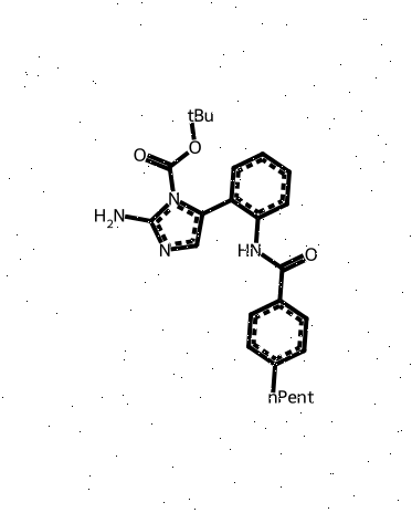 CCCCCc1ccc(C(=O)Nc2ccccc2-c2cnc(N)n2C(=O)OC(C)(C)C)cc1